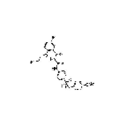 COc1ccc(NS(=O)(=O)c2ccc(NC(=S)NC(=O)c3cc(Br)ccc3OCCC(C)C)cc2)cc1